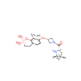 O=C(O)c1c(OC2CN(C(=O)[C@@H]3C[C@@H]4C[C@@H]4N3)C2)ccc2c1O[B-](O)(O)CC2